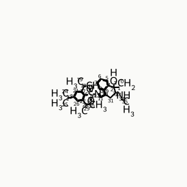 C=CC1(O)c2cccc3c2c(cn3S(=O)(=O)c2c(C(C)C)cc(C(C)C)cc2C(C)C)CC1NCC